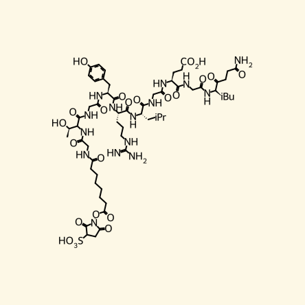 CC[C@H](C)C(NC(=O)CNC(=O)[C@H](CCC(=O)O)NC(=O)CNC(=O)[C@H](CC(C)C)NC(=O)[C@H](CCCNC(=N)N)NC(=O)[C@H](Cc1ccc(O)cc1)NC(=O)CNC(=O)C(NC(=O)CNC(=O)CCCCCCC(=O)ON1C(=O)CC(S(=O)(=O)O)C1=O)[C@@H](C)O)C(=O)CCC(N)=O